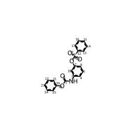 O=C(Nc1cccc(OS(=O)(=O)c2ccccc2)c1)Oc1ccccc1